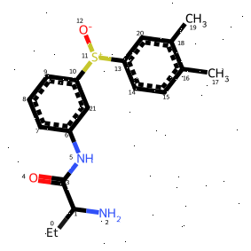 CCC(N)C(=O)Nc1cccc([S+]([O-])c2ccc(C)c(C)c2)c1